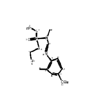 CCCSP(=O)(SCC(C)C)N(C)C=Nc1ccc(OC)cc1C